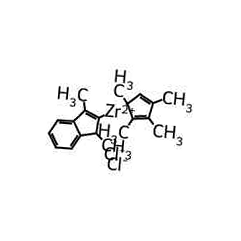 CC1=C[C](C)([Zr+2][C]2=C(C)c3ccccc3C2C)C(C)=C1C.[Cl-].[Cl-]